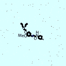 C=CCN(CC=C)CCOc1ccc(/C=C/C(=O)N[C@H]2CC[C@H](C)CC2)cc1OC